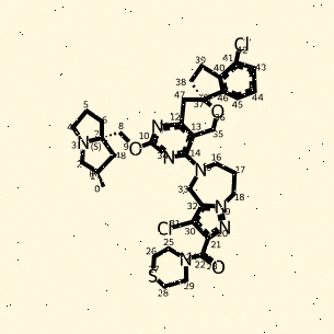 C[C@H]1CN2CCC[C@@]2(COc2nc3c(c(N4CCCn5nc(C(=O)N6CCSCC6)c(Cl)c5C4)n2)CO[C@@]2(CCc4c(Cl)cccc42)C3)C1